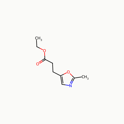 CCOC(=O)CCc1cnc(C)o1